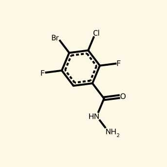 NNC(=O)c1cc(F)c(Br)c(Cl)c1F